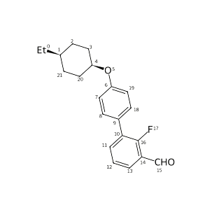 CC[C@H]1CC[C@@H](Oc2ccc(-c3cccc(C=O)c3F)cc2)CC1